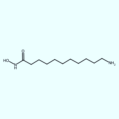 NCCCCCCCCCCC(=O)NO